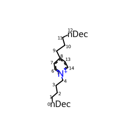 CCCCCCCCCCCCCC[n+]1ccc(CCCCCCCCCCCCC)cc1